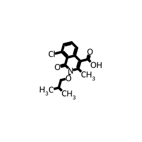 Cc1c(C(=O)O)c2cccc(Cl)c2c(=O)n1OCC(C)C